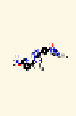 CNC(=O)c1ccnc2c([C@H](C)CNc3cc(-c4ccc(C(=O)N5CCN(C)CC5)cc4)ncn3)cccc12